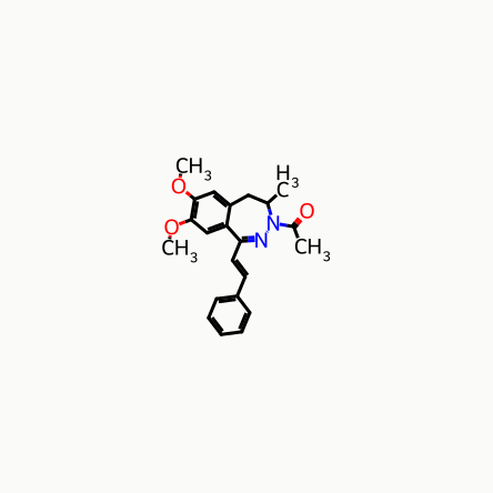 COc1cc2c(cc1OC)C(/C=C/c1ccccc1)=NN(C(C)=O)C(C)C2